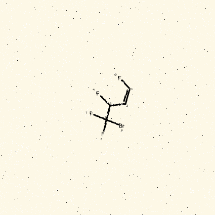 F/C=C\C(F)C(F)(F)Br